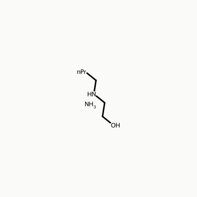 CCCCNCCO.N